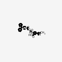 Cn1cc(-c2ccc(NC(=O)COCC(=O)N3CCN(C(c4ccccc4)c4ccccc4)CC3)c(C(=O)O)c2)cn1